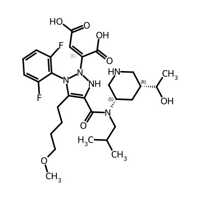 COCCCCC1=C(C(=O)N(CC(C)C)[C@@H]2CNC[C@H](C(C)O)C2)NN(/C(=C/C(=O)O)C(=O)O)N1c1c(F)cccc1F